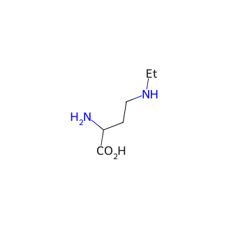 CCNCCC(N)C(=O)O